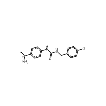 C[C@H](N)c1ccc(NC(=O)NCc2ccc(Cl)cc2)cc1